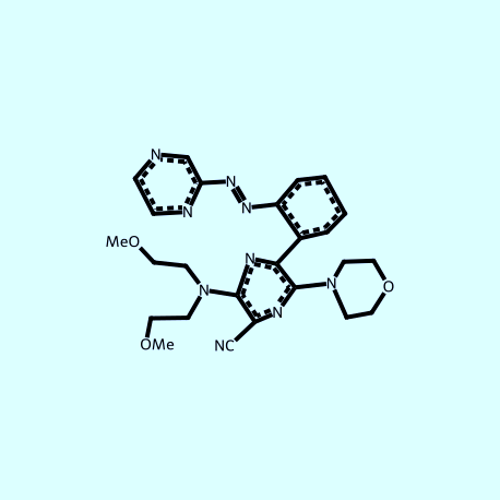 COCCN(CCOC)c1nc(-c2ccccc2N=Nc2cnccn2)c(N2CCOCC2)nc1C#N